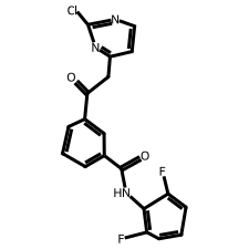 O=C(Cc1ccnc(Cl)n1)c1cccc(C(=O)Nc2c(F)cccc2F)c1